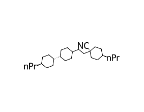 CCC[C@H]1CC[C@H](C2CCC(CC[C@]3(C#N)CC[C@H](CCC)CC3)CC2)CC1